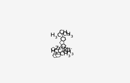 CC(C)(C)c1ccc2c(c1)Cc1c-2ccc(C(C)(C)C)[c]1[Zr+2][C]1=C(C23CC4CC(CC(C4)C2)C3)C=CC1.[Cl-].[Cl-]